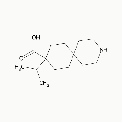 CC(C)C1(C(=O)O)CCC2(CCNCC2)CC1